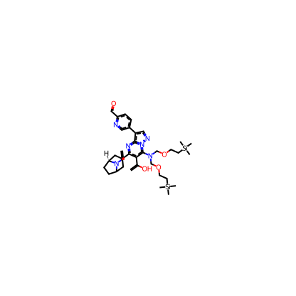 C=CN1C2CC[C@H]1CC(c1nc3c(-c4ccc(C=O)nc4)cnn3c(N(COCC[Si](C)(C)C)COCC[Si](C)(C)C)c1C(=C)O)C2